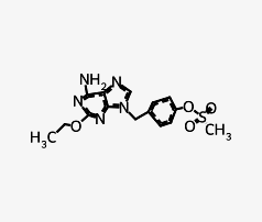 CCOc1nc(N)c2ncn(Cc3ccc(OS(C)(=O)=O)cc3)c2n1